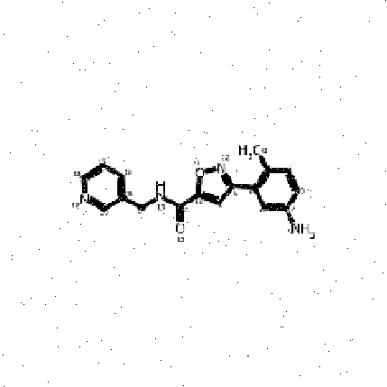 Cc1ccc(N)cc1-c1cc(C(=O)NCc2cccnc2)on1